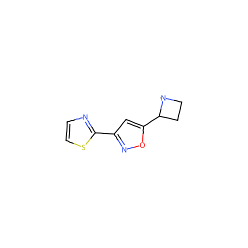 c1csc(-c2cc(C3CC[N]3)on2)n1